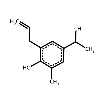 C=CCc1cc(C(C)C)cc(C)c1O